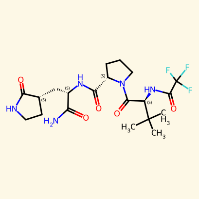 CC(C)(C)[C@H](NC(=O)C(F)(F)F)C(=O)N1CCC[C@H]1C(=O)N[C@@H](C[C@@H]1CCNC1=O)C(N)=O